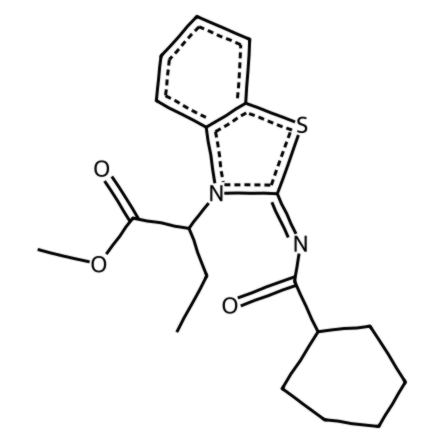 CCC(C(=O)OC)n1/c(=N\C(=O)C2CCCCC2)sc2ccccc21